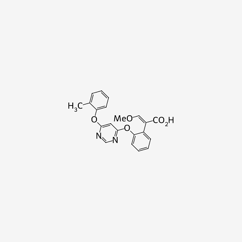 CO/C=C(/C(=O)O)c1ccccc1Oc1cc(Oc2ccccc2C)ncn1